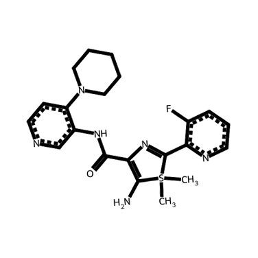 CS1(C)C(c2ncccc2F)=NC(C(=O)Nc2cnccc2N2CCCCC2)=C1N